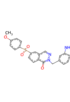 COc1ccc(S(=O)(=O)c2ccc3c(=O)n(Cc4cccc(N)c4)ncc3c2)cc1